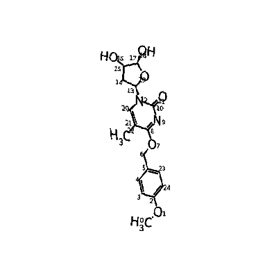 COc1ccc(COc2nc(=O)n([C@H]3CC(O)[C@@H](O)O3)cc2C)cc1